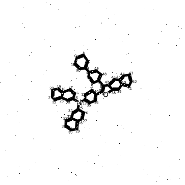 c1ccc(-c2ccc(-c3c(-c4ccc(N(c5ccc6ccccc6c5)c5ccc6ccccc6c5)cc4)oc4cc5ccccc5cc34)cc2)cc1